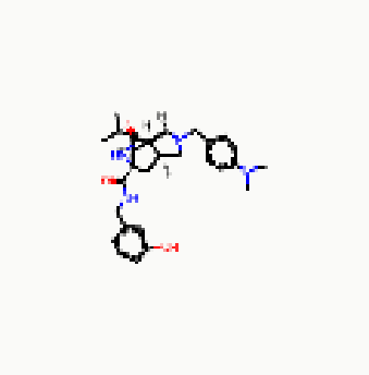 CC(C)C[C@@H]1[C@@H]2[C@@H]3C(=O)N[C@@]1(C(=O)NCc1cccc(O)c1)C[C@@H]3CN2Cc1ccc(N(C)C)cc1